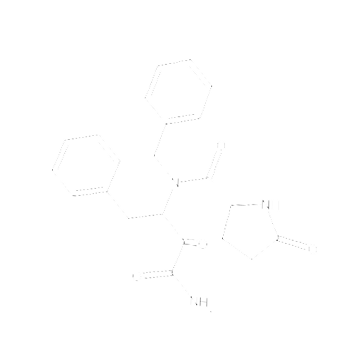 NC(=O)C(=O)C(Cc1ccccc1)N(Cc1ccccc1)C(=O)[C@H]1CCC(=O)N1